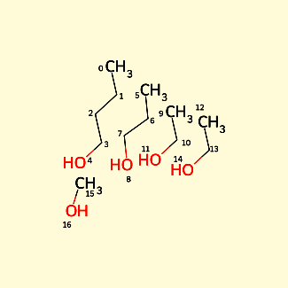 CCCCO.CCCO.CCO.CCO.CO